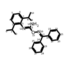 CC(C)c1cccc(C(C)C)c1N=C(N)ON=C(c1ccccc1)c1ccccc1